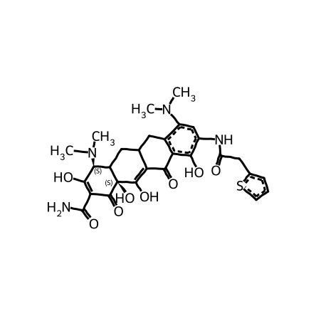 CN(C)c1cc(NC(=O)Cc2cccs2)c(O)c2c1CC1CC3[C@H](N(C)C)C(O)=C(C(N)=O)C(=O)[C@@]3(O)C(O)=C1C2=O